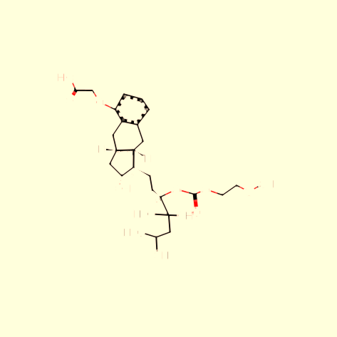 COCCOC(=O)O[C@H](CC[C@@H]1[C@H]2Cc3cccc(OCC(=O)O)c3C[C@H]2C[C@H]1O)C(C)(C)CC(C)C